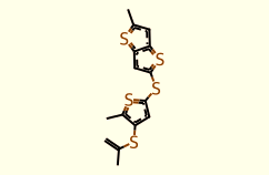 C=C(C)Sc1cc(Sc2cc3sc(C)cc3s2)sc1C